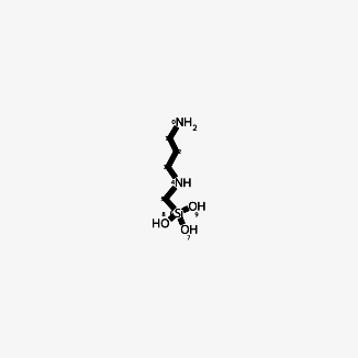 NCCCNC[Si](O)(O)O